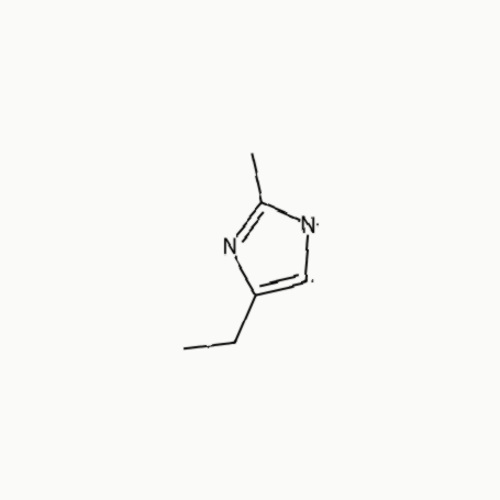 CCC1=[C][N]C(C)=N1